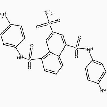 Nc1ccc(NS(=O)(=O)c2cc(S(N)(=O)=O)cc3c(S(=O)(=O)Nc4ccc(N)cc4)cccc23)cc1